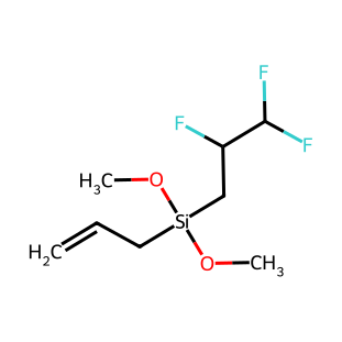 C=CC[Si](CC(F)C(F)F)(OC)OC